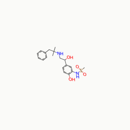 CC(C)(Cc1ccccc1)NCC(O)c1ccc(O)c(NS(C)(=O)=O)c1